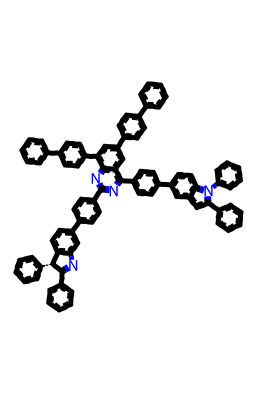 c1ccc(C2=Nc3cc(-c4ccc(-c5nc(-c6ccc(-c7ccc8c(c7)cc(-c7ccccc7)n8-c7ccccc7)cc6)c6cc(-c7ccc(-c8ccccc8)cc7)cc(-c7ccc(-c8ccccc8)cc7)c6n5)cc4)ccc3[C@H]2c2ccccc2)cc1